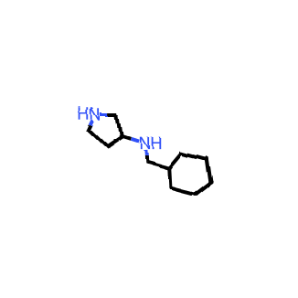 C1CCC(CNC2CCNC2)CC1